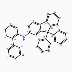 C1=CC(Nc2ccc3c(c2)C(c2ccccc2)(c2ccccc2)c2ccccc2-3)=C(c2ccccc2)CC1